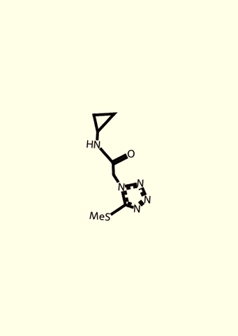 [CH2]Sc1nnnn1CC(=O)NC1CC1